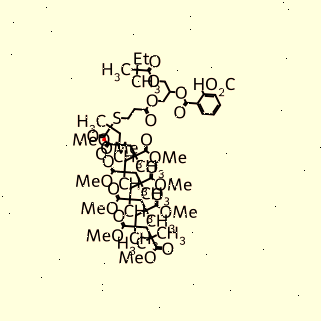 CCC(C)(C)C(=O)OCC(COC(=O)CCSC(C)(CC(C)(CC(C)(CC(C)(CC(C)(CC(C)(CC(C)(CC(C)(CC(C)(C)C(=O)OC)C(=O)OC)C(=O)OC)C(=O)OC)C(=O)OC)C(=O)OC)C(=O)OC)C(=O)OC)C(=O)OC)OC(=O)c1ccccc1C(=O)O